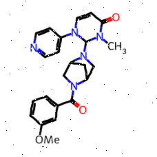 COc1cccc(C(=O)N2CC3CC2CN3C2N(C)C(=O)C=CN2c2ccncc2)c1